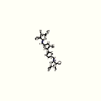 CN1C(=O)/C(=C/c2ccc(-c3sc(/C=C4\SC(=S)N(C)C4=O)cc3F)s2)SC1=S